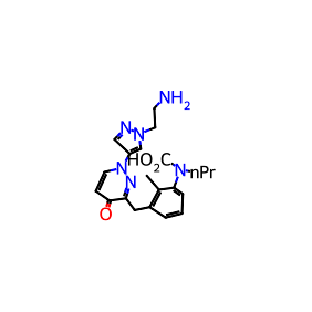 CCCN(C(=O)O)c1cccc(Cc2nn(-c3cnn(CCN)c3)ccc2=O)c1C